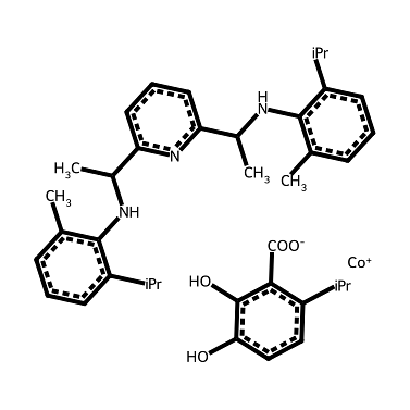 CC(C)c1ccc(O)c(O)c1C(=O)[O-].Cc1cccc(C(C)C)c1NC(C)c1cccc(C(C)Nc2c(C)cccc2C(C)C)n1.[Co+]